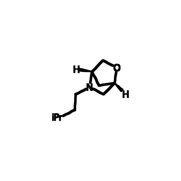 CC(C)CCN1C[C@@H]2C[C@H]1CO2